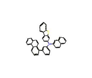 c1cc(-c2cccc3c2ccc2ccccc23)cc(N(c2ccc3ccccc3c2)c2ccc3c(c2)sc2ccccc23)c1